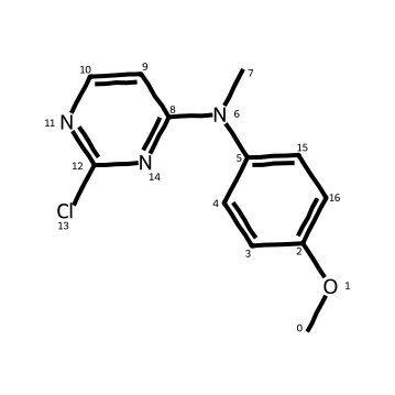 COc1ccc(N(C)c2ccnc(Cl)n2)cc1